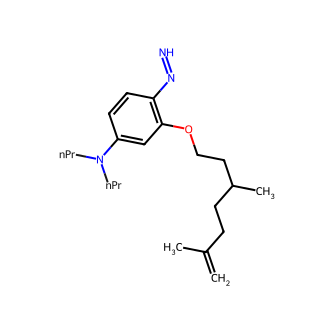 C=C(C)CCC(C)CCOc1cc(N(CCC)CCC)ccc1N=N